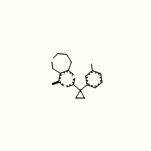 O=c1[nH]c(C2(c3cccc(C(F)(F)F)c3)CC2)nc2c1CNCCC2